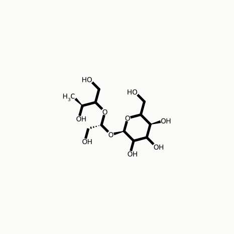 C[C@H](O)C(CO)O[C@@H](CO)O[C@H]1OC(CO)[C@@H](O)C(O)C1O